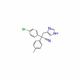 Cc1ccc(C(C#N)(Cc2c[nH]cn2)c2ccc(Br)cc2)cc1